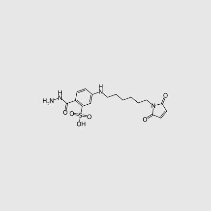 NNC(=O)c1ccc(NCCCCCCN2C(=O)C=CC2=O)cc1S(=O)(=O)O